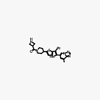 Cc1cc(-c2[nH]c3cc(C4CCN(C(=O)C5CNC5)CC4)sc3c2C(C)C)cn2ncnc12